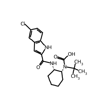 CC(C)(C)N(C(=O)O)[C@@H]1CCCC[C@@H]1NC(=O)c1cc2cc(Cl)ccc2[nH]1